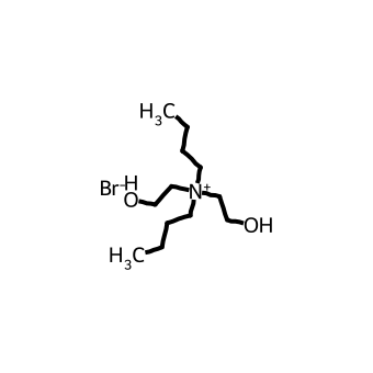 CCCC[N+](CCO)(CCO)CCCC.[Br-]